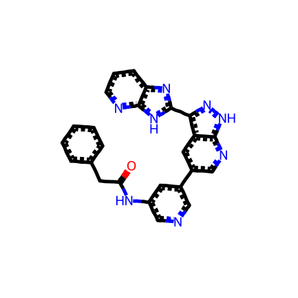 O=C(Cc1ccccc1)Nc1cncc(-c2cnc3[nH]nc(-c4nc5cccnc5[nH]4)c3c2)c1